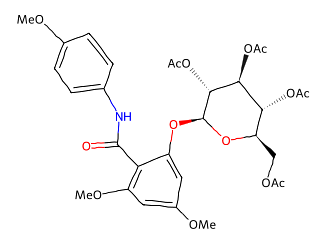 COc1ccc(NC(=O)c2c(OC)cc(OC)cc2O[C@@H]2O[C@H](COC(C)=O)[C@@H](OC(C)=O)[C@H](OC(C)=O)[C@H]2OC(C)=O)cc1